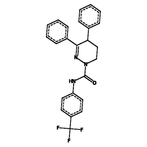 O=C(Nc1ccc(C(F)(F)F)cc1)N1CCC(c2ccccc2)C(c2ccccc2)=N1